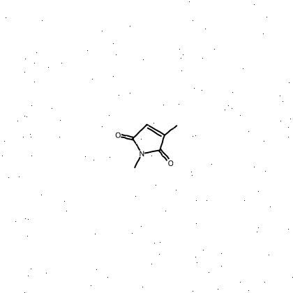 CC1=CC(=O)N(C)C1=O